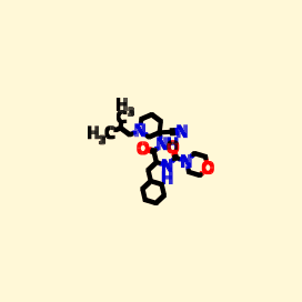 CC(C)CN1CCCC(C#N)(NC(=O)C(CC2CCCCC2)NC(=O)N2CCOCC2)C1